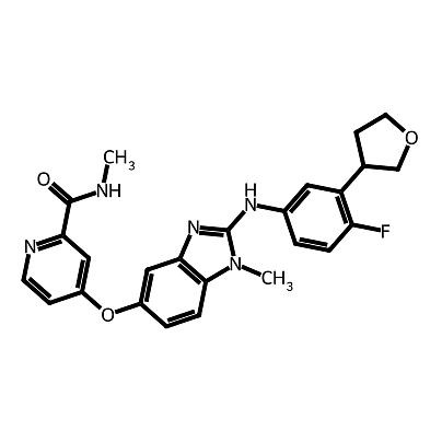 CNC(=O)c1cc(Oc2ccc3c(c2)nc(Nc2ccc(F)c(C4CCOC4)c2)n3C)ccn1